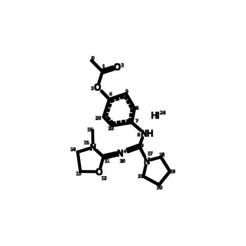 CC(=O)Oc1ccc(NC(=[N+]=C2OCCN2C)N2CCCC2)cc1.I